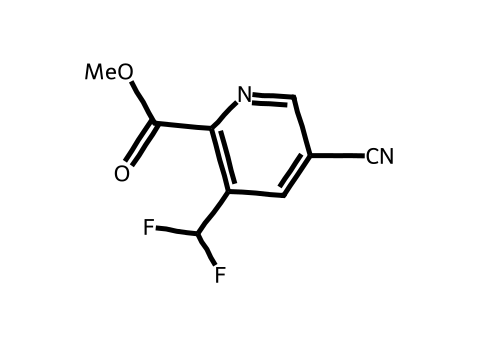 COC(=O)c1ncc(C#N)cc1C(F)F